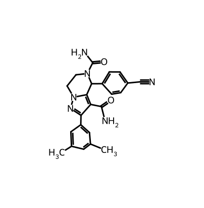 Cc1cc(C)cc(-c2nn3c(c2C(N)=O)C(c2ccc(C#N)cc2)N(C(N)=O)CC3)c1